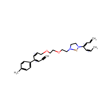 C#C/C=C(\C=C/COCCOCCN1CCN(C(/C=C\C)=C/C=C)S1)c1ccc(C)cc1